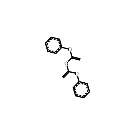 C=C(OC(=C)Oc1ccccc1)Oc1ccccc1